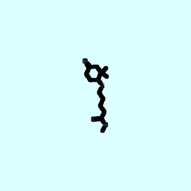 COC(=O)CCCCSC1CCC(=O)CC1(C)C